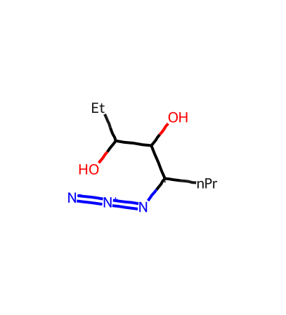 CCC[C](N=[N+]=[N-])C(O)C(O)CC